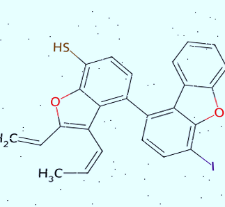 C=Cc1oc2c(S)ccc(-c3ccc(I)c4oc5ccccc5c34)c2c1/C=C\C